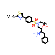 CNc1nc(-c2ccc(S(=O)(=O)N(CC(C)C)CC(O)[C@@H](N)Cc3ccccc3)cc2)cs1